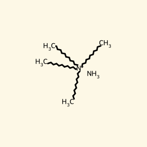 CCCCCCCCCCCC[N+](CCCCCCCCCCCC)(CCCCCCCCCCCC)CCCCCCCCCCCC.N